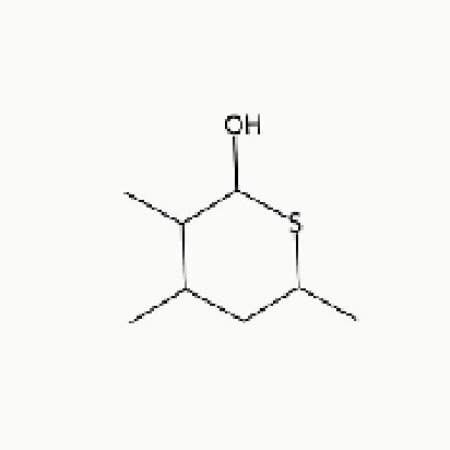 CC1CC(C)C(C)C(O)S1